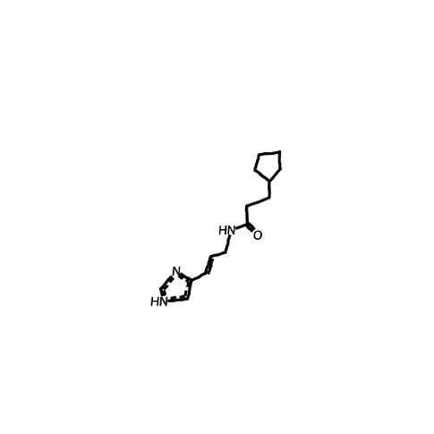 O=C(CCC1CCCC1)NCC=Cc1c[nH]cn1